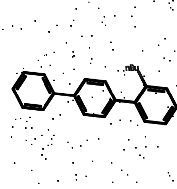 CCCCc1c[c]ccc1-c1ccc(-c2ccccc2)cc1